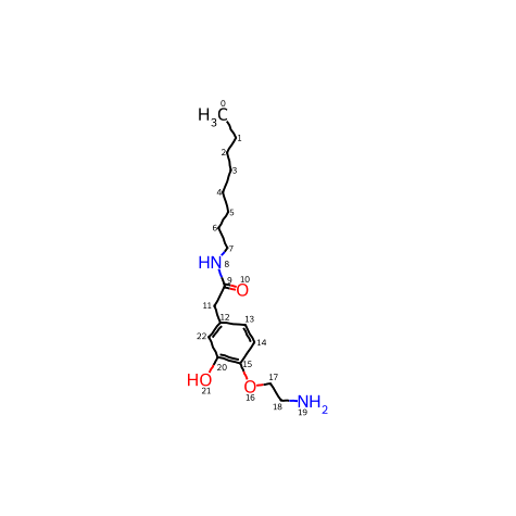 CCCCCCCCNC(=O)Cc1ccc(OCCN)c(O)c1